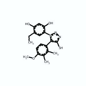 CCc1cc(-n2nnc(S)c2-c2ccc(OC)c(C)c2C)c(O)cc1O